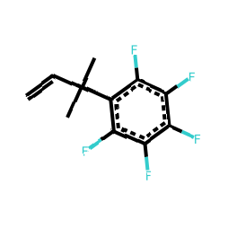 C=CC(C)(C)c1c(F)c(F)c(F)c(F)c1F